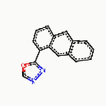 c1ccc2cc3c(-c4nnco4)cccc3cc2c1